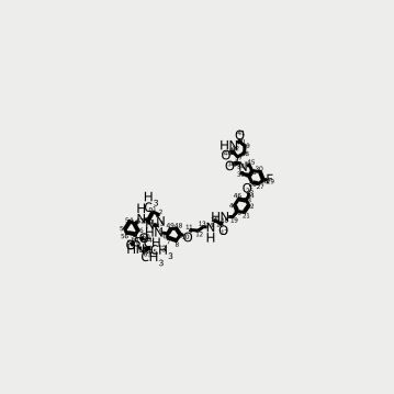 Cc1cnc(Nc2ccc(OCCCNCC(=O)NCc3ccc(COc4cc(F)cc5c4CN(C(=O)[C@H]4CCC(=O)NC4=O)C5)cc3)cc2)nc1Nc1cccc(S(=O)(=O)NC(C)(C)C)c1